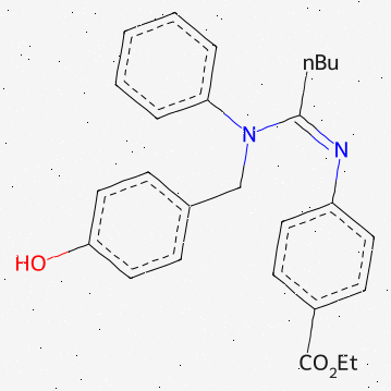 CCCCC(=Nc1ccc(C(=O)OCC)cc1)N(Cc1ccc(O)cc1)c1ccccc1